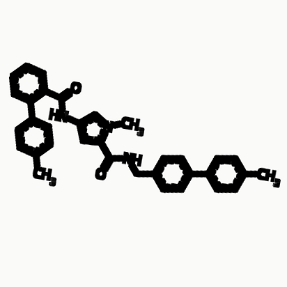 Cc1ccc(-c2ccc(CNC(=O)c3cc(NC(=O)c4ccccc4-c4ccc(C)cc4)cn3C)cc2)cc1